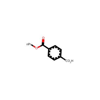 CCCOC(=O)c1ccc(C(=O)O)cc1